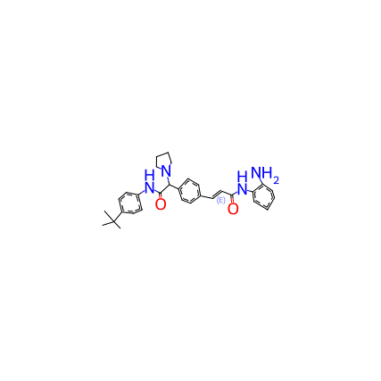 CC(C)(C)c1ccc(NC(=O)C(c2ccc(/C=C/C(=O)Nc3ccccc3N)cc2)N2CCCC2)cc1